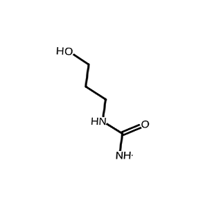 [NH]C(=O)NCCCO